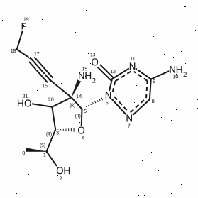 C[C@H](O)[C@H]1O[C@@H](n2ncc(N)nc2=O)[C@@](N)(C#CCF)C1O